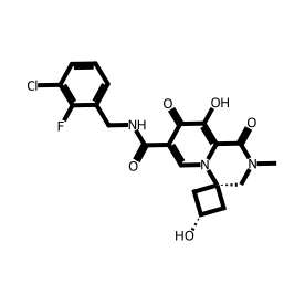 CN1C[C@]2(C[C@@H](O)C2)n2cc(C(=O)NCc3cccc(Cl)c3F)c(=O)c(O)c2C1=O